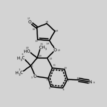 CC1(C)Oc2ccc(C#N)cc2C(OC2=CC(=O)CC2)C1(C)O